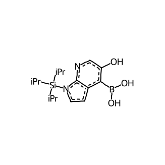 CC(C)[Si](C(C)C)(C(C)C)n1ccc2c(B(O)O)c(O)cnc21